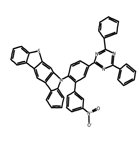 O=[N+]([O-])c1cccc(-c2cc(-c3nc(-c4ccccc4)nc(-c4ccccc4)n3)ccc2-n2c3ccccc3c3cc4c(cc32)sc2ccccc24)c1